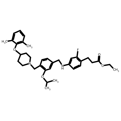 CCOC(=O)CCc1ccc(NCc2ccc(CN3CCC(Oc4c(C)cccc4C)CC3)c(OC(C)C)c2)cc1F